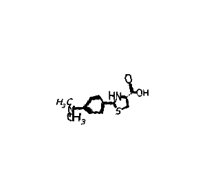 CN(C)c1ccc(C2N[C@H](C(=O)O)CS2)cc1